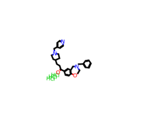 Cl.Cl.Cl.O=C(CCC1CCN(Cc2ccncc2)CC1)c1ccc2c(c1)CN(Cc1ccccc1)CCO2